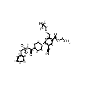 CCOC(=O)c1cc(C#N)c(N2CCC(C(=O)NS(=O)(=O)Cc3ccccc3)CC2)nc1COCC(F)(F)F